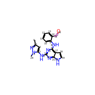 Cc1cc(Nc2nc(Nc3ccccc3P=O)c3cc[nH]c3n2)n(C)n1